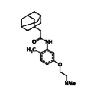 CNCCOc1ccc(C)c(NC(=O)CC23CC4CC(CC(C4)C2)C3)c1